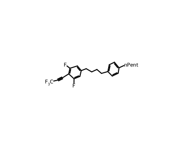 CCCCCc1ccc(CCCCc2cc(F)c(C#CC(F)(F)F)c(F)c2)cc1